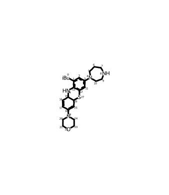 CCC(C)c1cc(N2CCCNCC2)cc2c1NC1C=CC(N3CCOCC3)=CC1S2